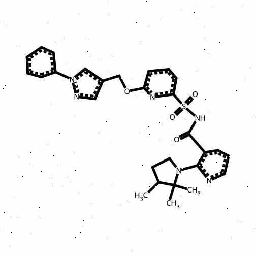 CC1CCN(c2ncccc2C(=O)NS(=O)(=O)c2cccc(OCc3cnn(-c4ccccc4)c3)n2)C1(C)C